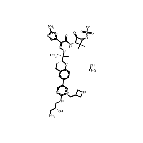 CC1(C)[C@H](NC(=O)/C(=N\O[C@](C)(C(=O)O)[C@H]2CCc3cc(-c4cnc(NC[C@H](O)CN)[n+](CC5CNC5)c4)ccc3O2)c2csc(N)n2)C(=O)N1OS(=O)(=O)[O-].O=CO